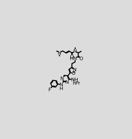 CCCNc1nc(Nc2cccc(F)c2)ncc1-c1cc(CCNC(=O)C(C)N(C)C(=O)C=CCN(C)C)no1